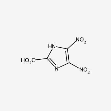 O=C(O)c1nc([N+](=O)[O-])c([N+](=O)[O-])[nH]1